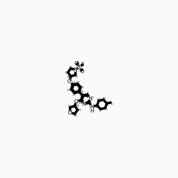 CC1CCC(Nc2ncc(-c3ccc(OC4CCN(S(C)(=O)=O)C4)cc3)c(OC3CCOC3)n2)CC1